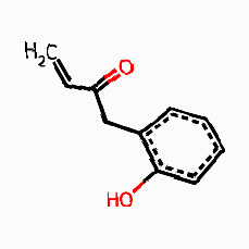 C=CC(=O)Cc1ccccc1O